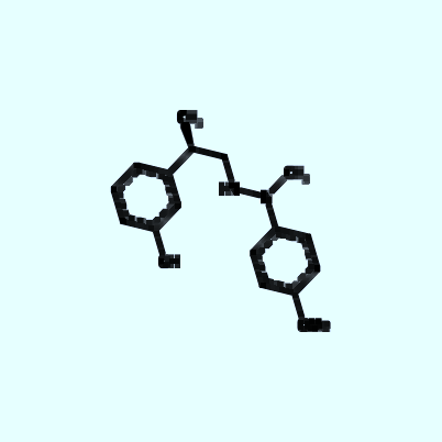 COc1ccc(N(C)NC[C@H](C)c2cccc(O)c2)cc1